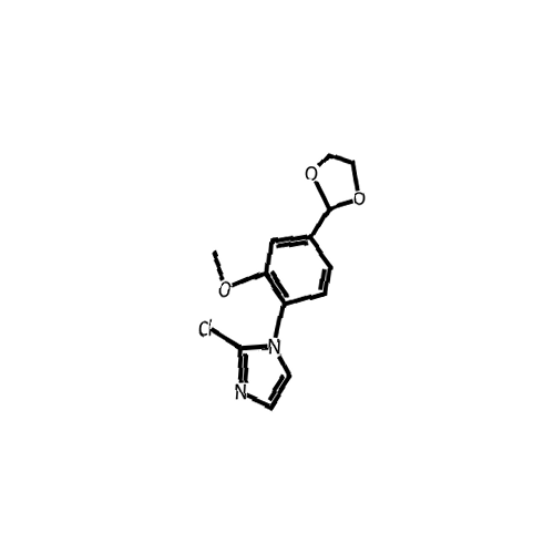 COc1cc(C2OCCO2)ccc1-n1ccnc1Cl